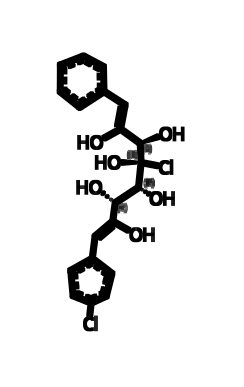 OC(=Cc1ccccc1)[C@@H](O)[C@](O)(Cl)[C@H](O)[C@@H](O)C(O)=Cc1ccc(Cl)cc1